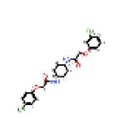 O=C(COc1ccc(Cl)cc1)N[C@H]1CC[C@H](NC(=O)COc2cccc(F)c2)CC1